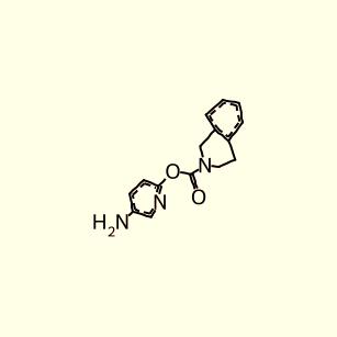 Nc1ccc(OC(=O)N2CCc3ccccc3C2)nc1